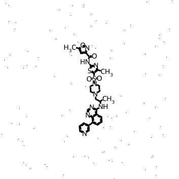 Cc1cc(C(=O)Nc2nc(C)c(S(=O)(=O)N3CCN(CC(C)Nc4ncnc5c(-c6cccnc6)cccc45)CC3)s2)no1